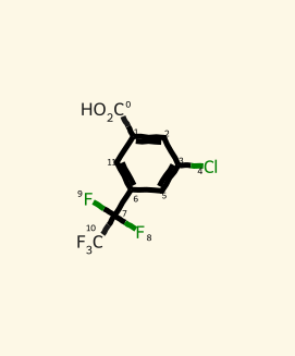 O=C(O)c1cc(Cl)cc(C(F)(F)C(F)(F)F)c1